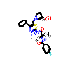 CC(C)(NC(=O)c1ccc(F)cc1)C(=O)Nc1nc(-c2ccccc2)c(CN2CC[C@H](O)C2)s1